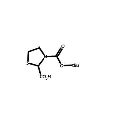 CC(C)(C)OC(=O)N1[CH]CSC1C(=O)O